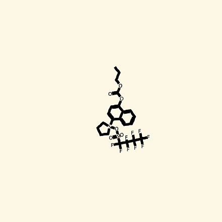 CCCOC(=O)Oc1ccc(S2(OS(=O)(=O)C(F)(F)C(F)(F)C(F)(F)C(F)(F)F)CCCC2)c2ccccc12